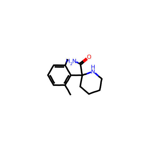 Cc1cccc(C)c1C1(C(N)=O)CCCCN1